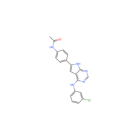 CC(=O)Nc1ccc(-c2cc3c(Nc4cccc(Cl)c4)ncnc3[nH]2)cc1